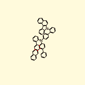 c1ccc(-c2ccc(N(c3ccc(-c4ccccc4-n4c5ccccc5c5c6ccccc6ccc54)cc3)c3ccccc3-c3ccccc3)cc2-c2ccc3ccccc3c2)cc1